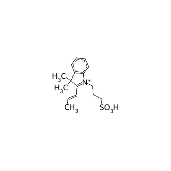 CC=CC1=[N+](CCCS(=O)(=O)O)c2ccccc2C1(C)C